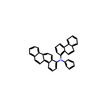 c1ccc(N(c2cccc3c2ccc2ccccc23)c2cccc3c2ccc2c4ccccc4ccc32)cc1